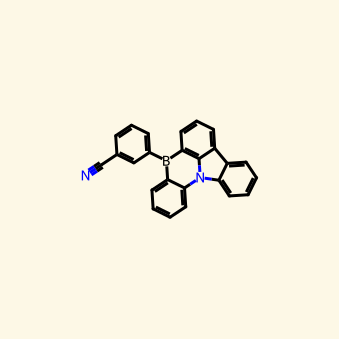 N#Cc1cccc(B2c3ccccc3-n3c4ccccc4c4cccc2c43)c1